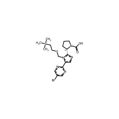 C[Si](C)(C)CCOCn1c(-c2ncc(Br)cn2)cnc1[C@@H]1CCCN1C(=O)O